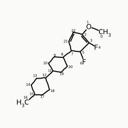 COC1=C(F)C(F)C(C2CCC(C3CCC(C)CC3)CC2)C=C1